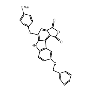 COc1ccc(Oc2cc3c(c4c2[nH]c2ccc(OCc5ccccc5)cc24)C(=O)OC3=O)cc1